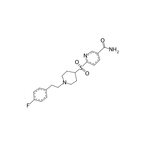 NC(=O)c1ccc(S(=O)(=O)C2CCN(CCc3ccc(F)cc3)CC2)nc1